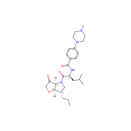 CCC[C@H]1CN(C(=O)[C@H](CC(C)C)NC(=O)c2ccc(N3CCN(C)CC3)cc2)[C@@H]2C(=O)CO[C@H]12